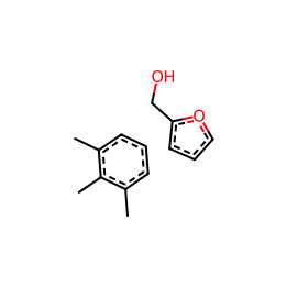 Cc1cccc(C)c1C.OCc1ccco1